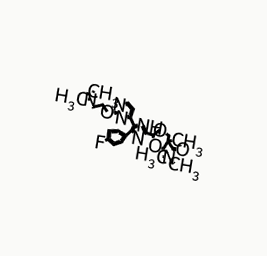 CN(C)CCOc1nccc(-c2[nH]c(C3OCC(C)(C(=O)N(C)C)CO3)nc2-c2ccc(F)cc2)n1